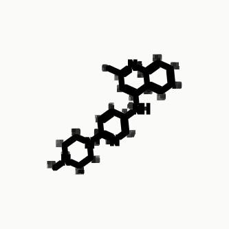 Cc1cc(Nc2ccc(N3CCN(C)CC3)nc2)c2ccccc2n1